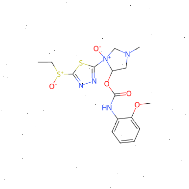 CC[S+]([O-])c1nnc([N+]2([O-])CN(C)CC2OC(=O)Nc2ccccc2OC)s1